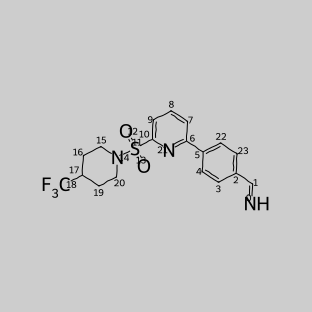 N=Cc1ccc(-c2cccc(S(=O)(=O)N3CCC(C(F)(F)F)CC3)n2)cc1